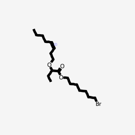 CCCC/C=C\CCOC(CC)C(=O)OCCCCCCCBr